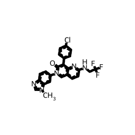 Cn1cnc2ccc(-n3cc4ccc(NCC(F)(F)F)nc4c(-c4ccc(Cl)cc4)c3=O)cc21